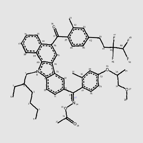 CCCCC(CC)Cn1c2ccc(/C(=N\OC(C)=O)c3ccc(OC(C)COC)cc3C)cc2c2cc(C(=O)c3ccc(CCC(F)(F)C(F)F)cc3C)c3ccccc3c21